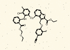 CCOC(=O)c1sc2cccc(F)c2c1COc1ccc(C#N)cc1F.CCOCOC(=O)c1ccccc1Nc1c(Cl)ccc(C)c1Cl